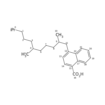 CC(C)CCCC(C)CCCC(C)Cc1ccc(C(=O)O)c2ccccc12